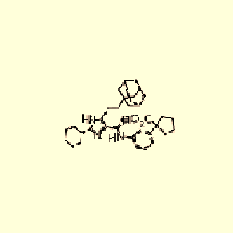 O=C(Nc1cccc(C2(C(=O)O)CCCC2)c1)c1nc(C2CCCCC2)[nH]c1CCC12CC3CC(CC(C3)C1)C2